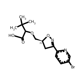 CC(C)(C)C(OC[C@@H]1CC(c2ccc(Br)cn2)=NO1)C(=O)O